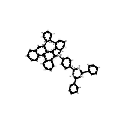 c1ccc(-c2nc(-c3ccccc3)nc(-c3ccc(-n4c5cccc6c5c5c7c(cc8ccccc8c7c7ccccc7c54)-c4ccccc4-6)cc3)n2)cc1